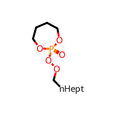 CCCCCCCCOOP1(=O)OCCCCO1